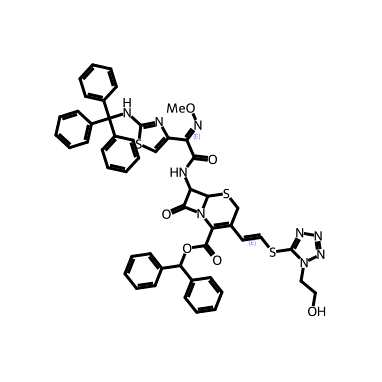 CO/N=C(/C(=O)NC1C(=O)N2C(C(=O)OC(c3ccccc3)c3ccccc3)=C(/C=C/Sc3nnnn3CCO)CSC12)c1csc(NC(c2ccccc2)(c2ccccc2)c2ccccc2)n1